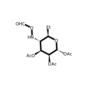 CC[C@H]1O[C@H](OC(C)=O)[C@@H](OC(C)=O)[C@@H](OC(C)=O)[C@@H]1NOC=O